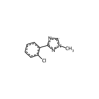 Cn1[c]nc(-c2ccccc2Cl)n1